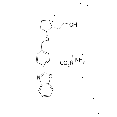 CC(=O)O.N.OCC[C@H]1CCC[C@H]1OCc1ccc(-c2nc3ccccc3o2)cc1